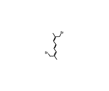 CC(=CC=CC=C(C)CBr)CBr